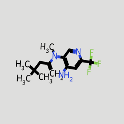 C=C(CC(C)(C)C)N(C)c1cnc(C(F)(F)F)cc1N